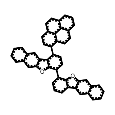 c1ccc2cc3c(cc2c1)oc1c(-c2ccc(-c4ccc5ccc6cccc7ccc4c5c67)c4c2oc2cc5ccccc5cc24)cccc13